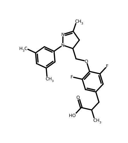 CC1=NN(c2cc(C)cc(C)c2)C(COc2c(F)cc(CC(C)C(=O)O)cc2F)C1